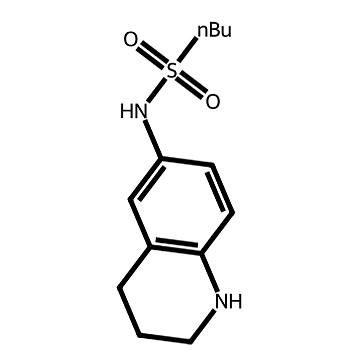 CCCCS(=O)(=O)Nc1ccc2c(c1)CCCN2